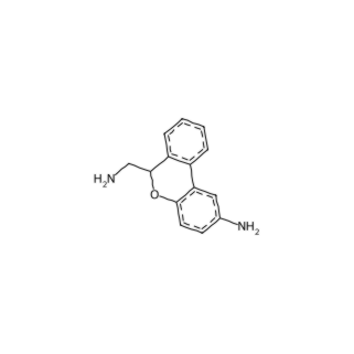 NCC1Oc2ccc(N)cc2-c2ccccc21